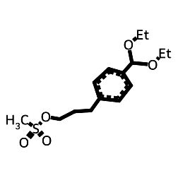 CCOC(OCC)c1ccc(CCCOS(C)(=O)=O)cc1